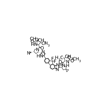 COC(=O)N[C@H](C(=O)N1C[C@@H](C#N)C[C@H]1c1ncc(-c2ccc3c(c2)C(F)(F)c2c-3ccc3nc([C@@H]4CC5(CC5)CN4C(=O)[C@@H](NC(=O)OC)C(C)C)[nH]c23)[nH]1)C(C)C